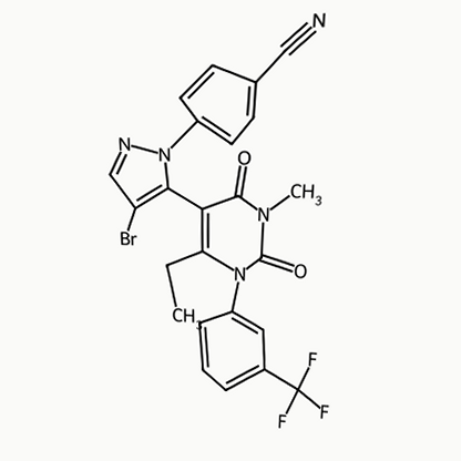 CCc1c(-c2c(Br)cnn2-c2ccc(C#N)cc2)c(=O)n(C)c(=O)n1-c1cccc(C(F)(F)F)c1